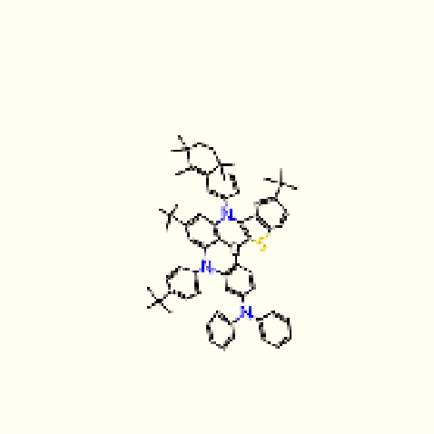 C=C/C(=C\C1=C(C)C(C)(C)CCC1(C)C)N1c2cc(C(C)(C)C)cc3c2B(c2ccc(N(c4ccccc4)c4ccccc4)cc2N3c2ccc(C(C)(C)C)cc2)c2sc3ccc(C(C)(C)C)cc3c21